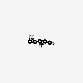 COc1ccc(-c2ccc3c(c2)C(C)(C(F)(F)F)c2cc(-c4ccc5c(c4)C(C)(C(F)(F)F)c4ccccc4-5)ccc2-3)cc1